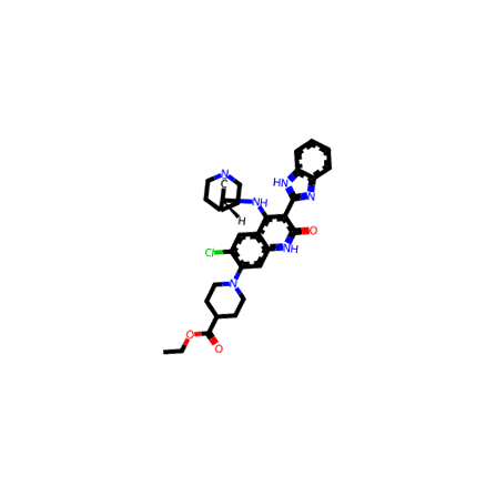 CCOC(=O)C1CCN(c2cc3[nH]c(=O)c(-c4nc5ccccc5[nH]4)c(N[C@H]4CN5CCC4CC5)c3cc2Cl)CC1